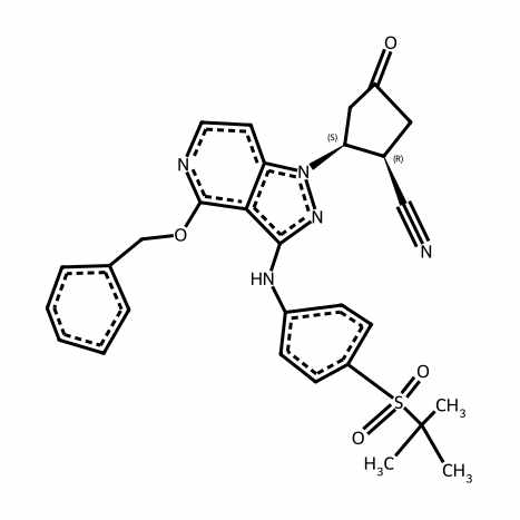 CC(C)(C)S(=O)(=O)c1ccc(Nc2nn([C@H]3CC(=O)C[C@H]3C#N)c3ccnc(OCc4ccccc4)c23)cc1